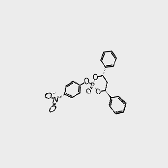 O=[N+]([O-])c1ccc(OP2(=O)O[C@H](c3ccccc3)C[C@@H](c3ccccc3)O2)cc1